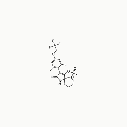 Cc1cc(OCC(F)(F)F)cc(C)c1C1=C(OS(C)(=O)=O)C2(CCCCC2)NC1=O